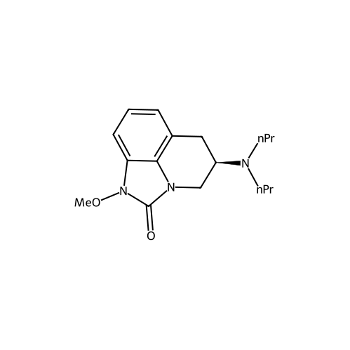 CCCN(CCC)[C@@H]1Cc2cccc3c2n(c(=O)n3OC)C1